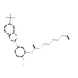 COc1ccc(-c2nc3cc(C(F)(F)F)ccc3o2)cc1NC(=O)NCCCCCC(=O)O